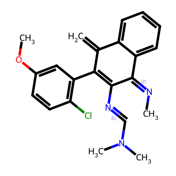 C=C1C(c2cc(OC)ccc2Cl)=C(/N=C/N(C)C)/C(=N\C)c2ccccc21